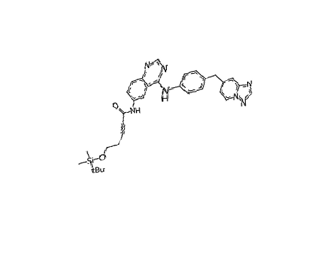 CC(C)(C)[Si](C)(C)OCCC#CC(=O)Nc1ccc2ncnc(Nc3ccc(Cc4ccn5ncnc5c4)cc3)c2c1